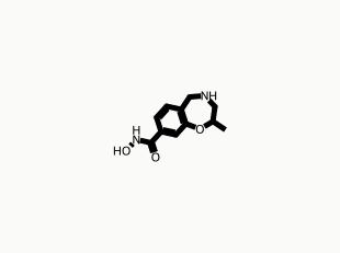 CC1CNCc2ccc(C(=O)NO)cc2O1